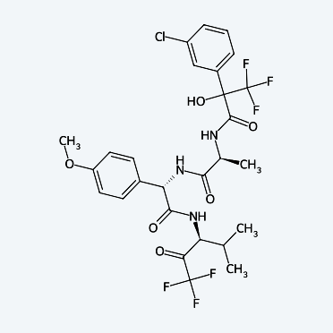 COc1ccc([C@H](NC(=O)[C@H](C)NC(=O)C(O)(c2cccc(Cl)c2)C(F)(F)F)C(=O)N[C@H](C(=O)C(F)(F)F)C(C)C)cc1